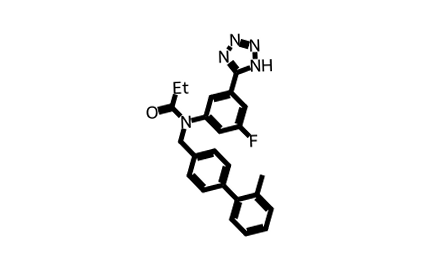 CCC(=O)N(Cc1ccc(-c2ccccc2C)cc1)c1cc(F)cc(-c2nnn[nH]2)c1